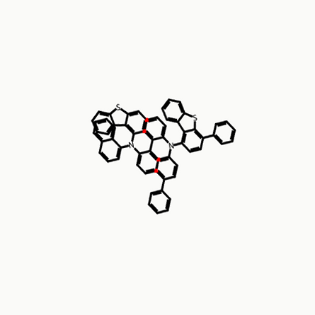 c1ccc(-c2ccc(N(c3ccccc3-c3ccccc3N(c3cccc4ccccc34)c3cccc4sc5ccccc5c34)c3ccc(-c4ccccc4)c4sc5ccccc5c34)cc2)cc1